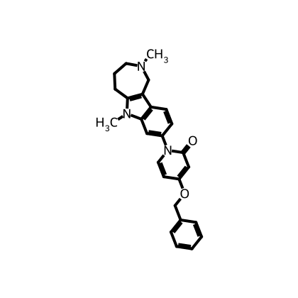 CN1CCCc2c(c3ccc(-n4ccc(OCc5ccccc5)cc4=O)cc3n2C)C1